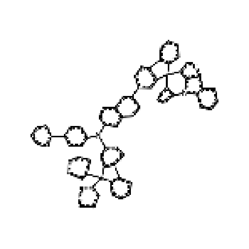 c1ccc(-c2ccc(N(c3ccc4c(c3)C(c3ccccc3)(c3ccccc3)c3ccccc3-4)c3ccc4cc(-c5ccc6c(c5)C5(c7ccccc7-6)c6ccccc6-n6c7ccccc7c7cccc5c76)ccc4c3)cc2)cc1